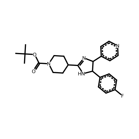 CC(C)(C)OC(=O)N1CCC(C2=NC(c3ccncc3)C(c3ccc(F)cc3)N2)CC1